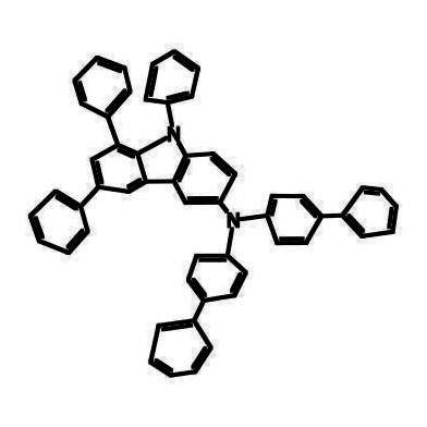 c1ccc(-c2ccc(N(c3ccc(-c4ccccc4)cc3)c3ccc4c(c3)c3cc(-c5ccccc5)cc(-c5ccccc5)c3n4-c3ccccc3)cc2)cc1